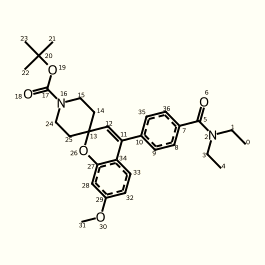 CCN(CC)C(=O)c1ccc(C2=CC3(CCN(C(=O)OC(C)(C)C)CC3)Oc3cc(OC)ccc32)cc1